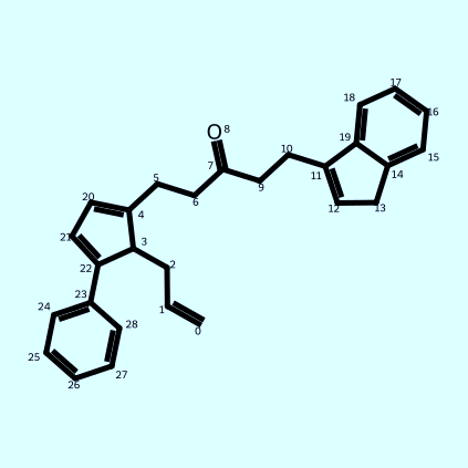 C=CCC1C(CCC(=O)CCC2=CCc3ccccc32)=CC=C1c1ccccc1